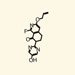 C=CCOc1cc2c(c(F)n1)C(=O)C(c1ncc(O)cn1)CC2